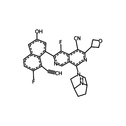 C#Cc1c(F)ccc2cc(O)cc(-c3ncc4c(N5CC6CCC(C5)N6)nc(C5COC5)c(C#N)c4c3F)c12